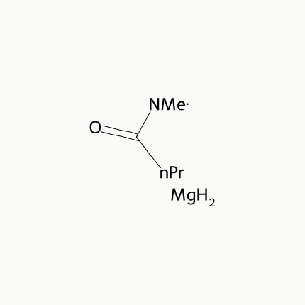 CCCC(=O)[N]C.[MgH2]